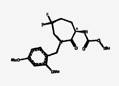 COc1ccc(CN2CC(F)(F)CC[C@@H](NC(=O)OC(C)(C)C)C2=O)c(OC)c1